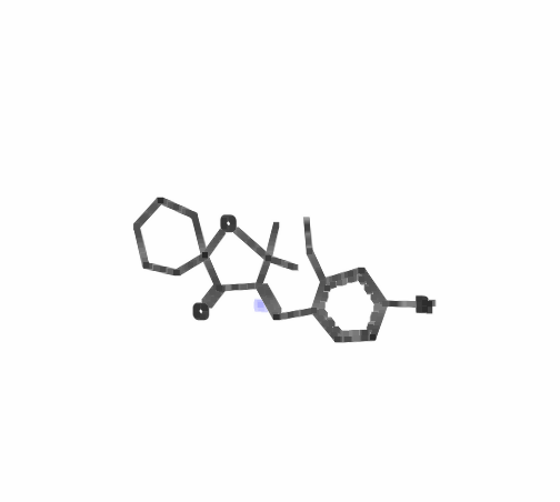 CCc1cc(Br)ccc1/C=C1/C(=O)C2(CCCCC2)OC1(C)C